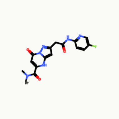 CC(C)N(C)C(=O)c1cc(=O)n2nc(CC(=O)Nc3ccc(F)cn3)cc2[nH]1